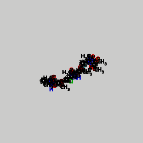 CCOc1cc(C(CS(C)(=O)=O)n2c(=O)n(C)c3cc(-c4cccc(COc5cc(C(CS(C)(=O)=O)n6c(=O)[nH]c7cc(-c8ccc(COc9cc(C(CS(C)(=O)=O)n%10c(=O)[nH]c%11cc(-c%12ccccc%12C)cnc%11%10)ccc9OC)cc8Cl)cnc76)ccc5OC)c4F)cnc32)ccc1OC